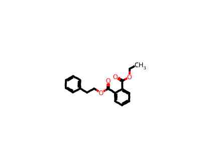 CCOC(=O)c1ccccc1C(=O)OCCc1ccccc1